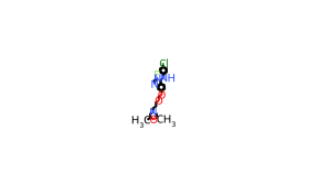 CC1CN(CCCOCOc2ccc3c(Nc4ccc(Cl)cc4F)ncnc3c2)CC(C)O1